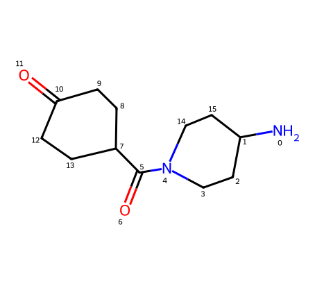 NC1CCN(C(=O)C2CCC(=O)CC2)CC1